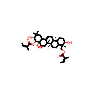 C/C=C(/C)C(=O)OC[C@]1(C)C2CC[C@]3(C)C(CC=C4C5CC(C)(C)[C@@H](O)[C@H](OC(=O)/C(C)=C\C)[C@]5(CO)[C@H](O)C[C@]43C)[C@@]2(C)CC[C@@H]1O